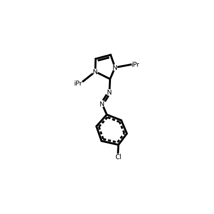 CC(C)N1C=CN(C(C)C)C1/N=N/c1ccc(Cl)cc1